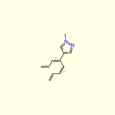 C=C/C=C\C(=C/C=C)c1cnn(C)c1